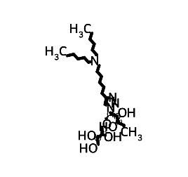 CCCCCCN(CCCCCC)CCCCCCc1cn([C@@H](COC[C@H](O)[C@@H](O)CO)[C@H](O)[C@H](O)CC)nn1